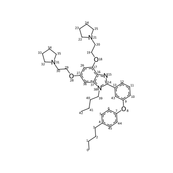 CCCCc1ccc(Oc2cccc(-c3nc4c(OCCN5CCCC5)cc(OCCN5CCCC5)cc4n3CCCC)c2)cc1